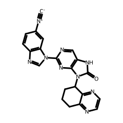 [C-]#[N+]c1ccc2ncn(-c3ncc4[nH]c(=O)n(C5CCCc6nccnc65)c4n3)c2c1